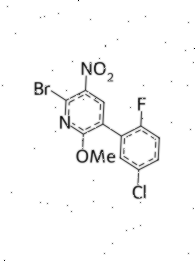 COc1nc(Br)c([N+](=O)[O-])cc1-c1cc(Cl)ccc1F